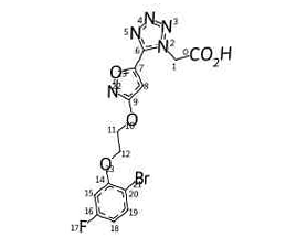 O=C(O)Cn1nnnc1-c1cc(OCCOc2cc(F)ccc2Br)no1